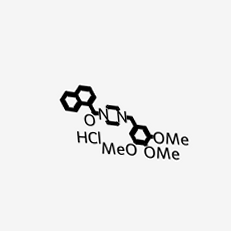 COc1cc(CN2CCN(C(=O)c3cccc4ccccc34)CC2)cc(OC)c1OC.Cl